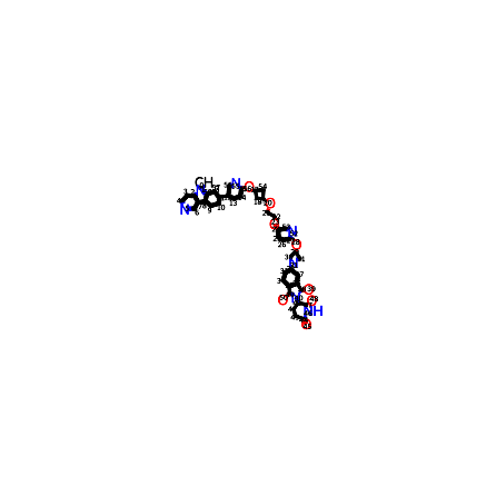 Cn1c2ccncc2c2ccc(-c3ccc(O[C@H]4C[C@H](OCCOc5ccc(OC6CN(c7ccc8c(c7)C(=O)N(C7CCC(=O)NC7=O)C8=O)C6)nc5)C4)nc3)cc21